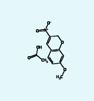 CC(=O)O.COc1ccc2c(c1)OCC([N+](=O)[O-])=C2